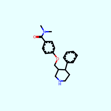 CN(C)C(=O)c1ccc(OCC2CNCCC2c2ccccc2)cc1